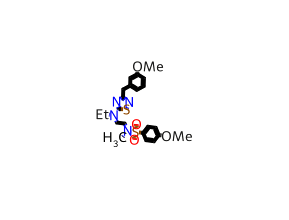 CCN(CCN(C)S(=O)(=O)c1ccc(OC)cc1)c1nc(Cc2cccc(OC)c2)ns1